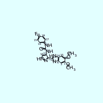 COc1cc2nc(-c3n[nH]cc3NC(=O)Nc3ccc(F)cc3)[nH]c2cc1OC